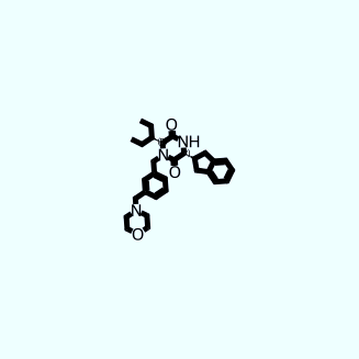 CCC(CC)[C@@H]1C(=O)N[C@H](C2Cc3ccccc3C2)C(=O)N1Cc1cccc(CN2CCOCC2)c1